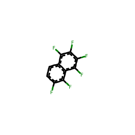 Fc1ccc2c(F)c(F)c(F)c(F)c2c1F